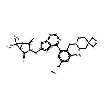 Cc1cc(Cl)cc(-c2ncnn3cc(CN4C(=O)C5C(C4=O)C5(C)C)cc23)c1CN1CCC2(CC1)CNC2.Cl